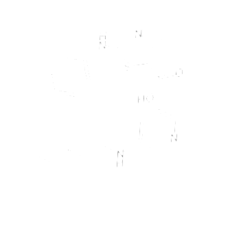 CCCCCNc1cccnc1.Cc1ccc(Nc2nc(C)c(C(=O)O)s2)cc1